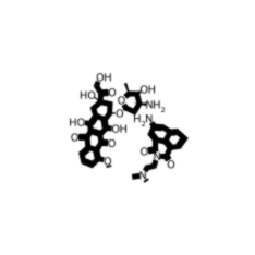 CN(C)CCN1C(=O)c2cccc3cc(N)cc(c23)C1=O.COc1cccc2c1C(=O)c1c(O)c3c(c(O)c1C2=O)C[C@@](O)(C(=O)CO)C[C@@H]3O[C@H]1C[C@H](N)[C@H](O)[C@H](C)O1